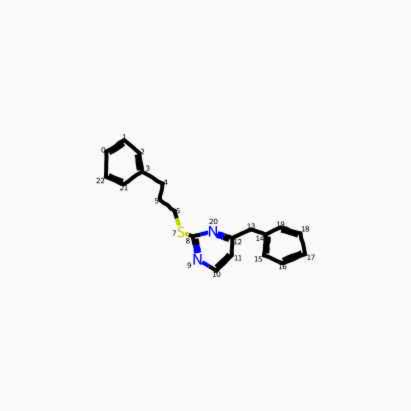 c1ccc(CCCSc2nccc(Cc3ccccc3)n2)cc1